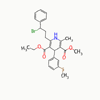 CCOC(=O)C1=C(CCC(Br)c2ccccc2)NC(C)=C(C(=O)OC)C1c1cccc(SC)c1